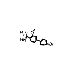 COc1cc(-c2ccc(Br)cc2)ccc1C(=N)N